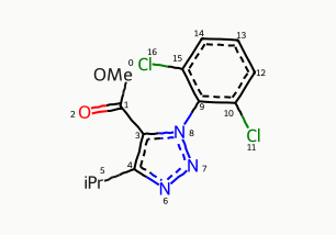 COC(=O)c1c(C(C)C)nnn1-c1c(Cl)cccc1Cl